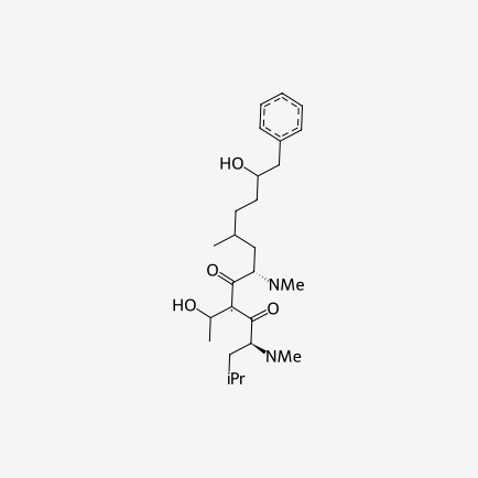 CN[C@@H](CC(C)C)C(=O)[C](C(=O)[C@H](CC(C)CCC(O)Cc1ccccc1)NC)C(C)O